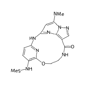 CNc1cc2nc3c(cnn13)C(=O)NCCOc1nc(ccc1NSC)N2